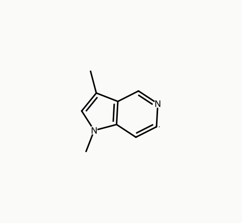 Cc1cn(C)c2c[c]ncc12